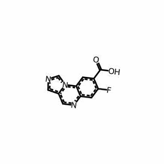 O=C(O)c1cc2c(cc1F)ncc1cncn12